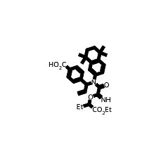 C=CC(c1ccc(C(=O)O)cc1)N(C(=O)C(=N)OC(CC)C(=O)OCC)c1ccc2c(c1)C(C)(C)CCC2(C)C